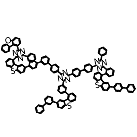 c1ccc(-c2ccc(-c3ccc4sc5cccc(-c6ccccc6-c6nc(-c7ccccc7)nc(-c7ccc(-c8ccc(-c9nc(-c%10ccc(-c%11cccc(-c%12ccc(-c%13ccc%14sc%15cccc(-c%16nc(-c%17ccccc%17)nc(-c%17cccc%18oc%19ccccc%19c%17%18)n%16)c%15c%14c%13)cc%12)c%11)cc%10)nc(-c%10cccc(-c%11cccc%12sc%13ccc(-c%14cccc(-c%15ccccc%15)c%14)cc%13c%11%12)c%10)n9)cc8)cc7)n6)c5c4c3)cc2)cc1